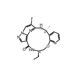 CC[C@@H]1COc2ncccc2[C@@H](C)Nc2nc3c(cnn3cc2F)C(=O)N1